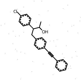 CC(O)C(Cc1ccc(C#Cc2ccccc2)cc1)c1ccc(Cl)cc1